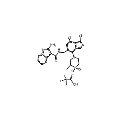 CC1CN(c2c(CNC(=O)c3c(N)nn4cccnc34)cc(Cl)c3c(Cl)ncn23)CCS1(=O)=O.O=C(O)C(F)(F)F